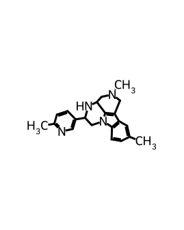 Cc1ccc2c(c1)c1c3n2CC(c2ccc(C)nc2)NC3CN(C)C1